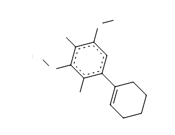 COc1cc(C2=CCCCC2)c(C)c(OC)c1O